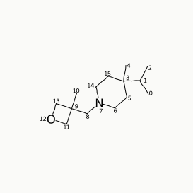 CC(C)C1(C)CCN(CC2(C)COC2)CC1